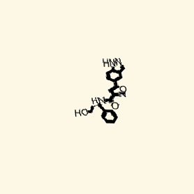 O=C(N[C@@H](CCO)c1ccccc1)c1cc(-c2ccc3[nH]ncc3c2)on1